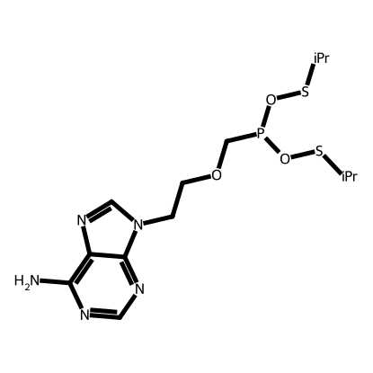 CC(C)SOP(COCCn1cnc2c(N)ncnc21)OSC(C)C